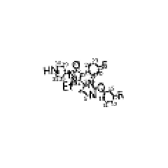 CCn1c(-c2ccnc(Oc3cccc(F)c3)n2)c(-c2ccc(F)cc2)c(=O)n1C1CCNCC1